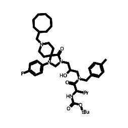 Cc1ccc(CN(CC(O)CN2CN(c3ccc(F)cc3)C3(CCN(CC4CCCCCCC4)CC3)C2=O)C(=O)C(NC(=O)OC(C)(C)C)C(C)C)cc1